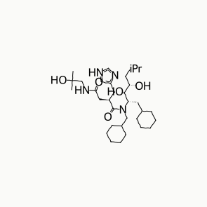 CC(C)C[C@H](O)[C@H](O)[C@H](CC1CCCCC1)N(CC1CCCCC1)C(=O)[C@@H](CC(=O)NCC(C)(C)O)Cc1c[nH]cn1